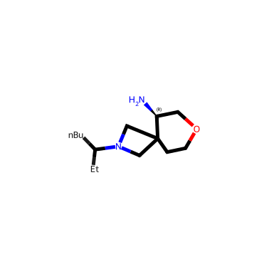 CCCCC(CC)N1CC2(CCOC[C@@H]2N)C1